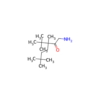 CC(C)(C)CCC(C)(C(=O)CN)C(C)(C)C